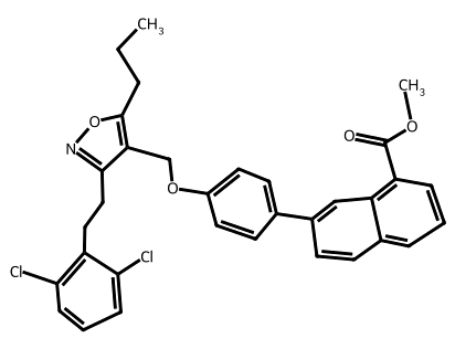 CCCc1onc(CCc2c(Cl)cccc2Cl)c1COc1ccc(-c2ccc3cccc(C(=O)OC)c3c2)cc1